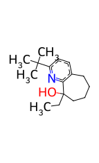 CCC1(O)CCCCc2ccc(C(C)(C)C)nc21